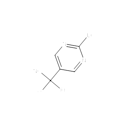 CCc1ncc(C(C#N)(CC)CC)cn1